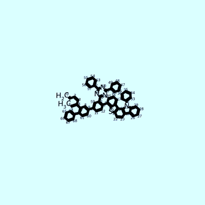 C=C/C=C\C(=C/C)c1cc(-c2ccc(-c3cccc4c3sc3ccc5c6ccccc6n(-c6ccccc6)c5c34)c(-c3nc(-c4ccccc4)nc(-c4ccccc4)n3)c2)ccc1-c1ccccc1